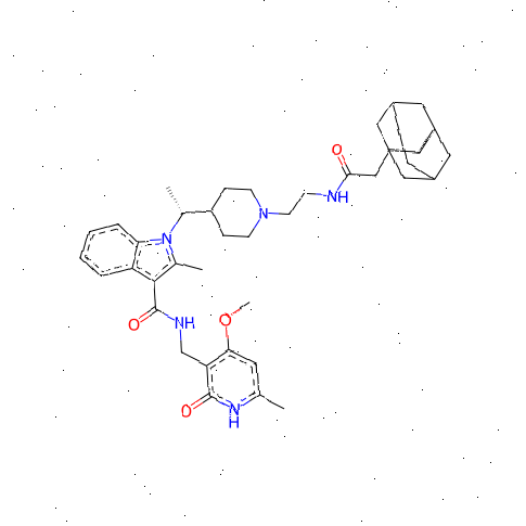 COc1cc(C)[nH]c(=O)c1CNC(=O)c1c(C)n([C@H](C)C2CCN(CCNC(=O)CC34CC5CC(CC(C5)C3)C4)CC2)c2ccccc12